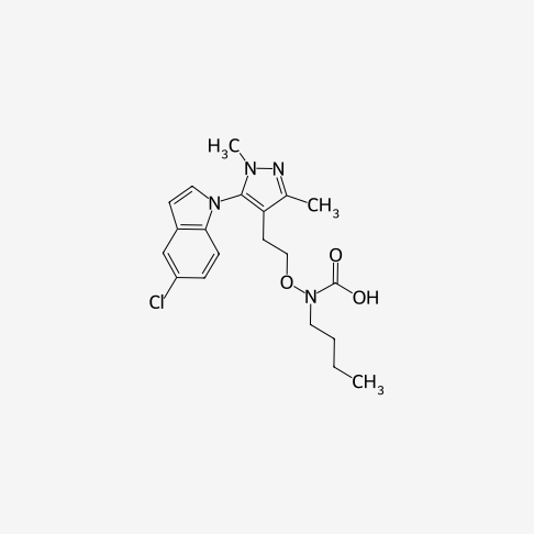 CCCCN(OCCc1c(C)nn(C)c1-n1ccc2cc(Cl)ccc21)C(=O)O